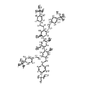 FC(F)(F)c1ccc(/C=C/c2cc(Br)c(-c3cc(Br)c(-c4cc(/C=C/c5ccc(C(F)(F)F)cc5)c(/C=C/c5ccc(C(F)(F)F)cc5)cc4Br)cc3Br)cc2/C=C/c2ccc(C(F)(F)F)cc2)cc1